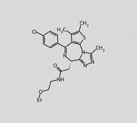 CCOCCNC(=O)C[C@@H]1N=C(c2ccc(Cl)cc2)c2c(sc(C)c2C)-n2c(C)nnc21